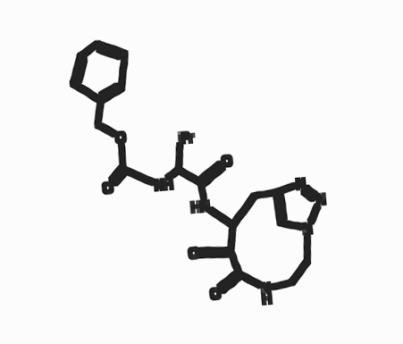 CC(C)C(NC(=O)OCc1ccccc1)C(=O)NC1Cc2cn(nn2)CCNC(=O)C1=O